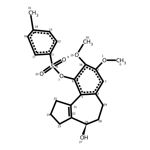 COc1cc2c(c(OS(=O)(=O)c3ccc(C)cc3)c1OC)C1=C(CCC1)[C@H](O)CC2